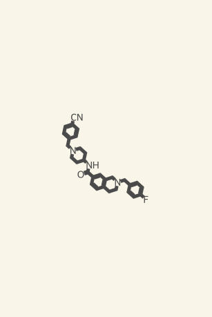 N#Cc1ccc(CN2CCC(NC(=O)c3ccc4c(c3)CN(Cc3ccc(F)cc3)CC4)CC2)cc1